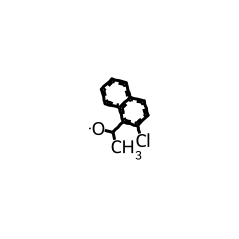 CC([O])c1c(Cl)ccc2ccccc12